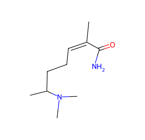 CC(=CCCC(C)N(C)C)C(N)=O